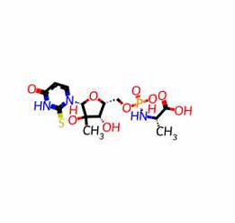 C[C@H](NP(=O)(O)OC[C@H]1O[C@@H](n2ccc(=O)[nH]c2=S)C(C)(O)[C@H]1O)C(=O)O